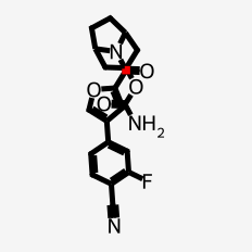 N#Cc1ccc(-c2coc(C(=O)N3C4CCC3CC(OC(N)=O)C4)c2)cc1F